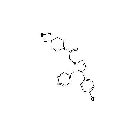 O=C(Cn1cnc(-c2ccc(Cl)cc2)c1-c1ccncc1)N1CCC2(CC1)CNC2